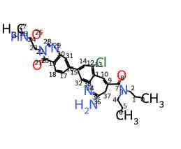 CCCN(CCC)C(=O)C1=Cc2c(Cl)cc(-c3ccc4c(=O)n(CC(=O)NC)cnc4c3)cc2N=C(N)C1